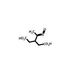 CC(=S=O)C(CC(=O)O)CC(=O)O